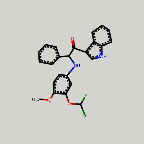 COc1ccc(NC(C(=O)c2c[nH]c3ccccc23)c2ccccc2)cc1OC(F)F